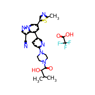 Cc1ncc(-c2cc(-c3ccc(N4CCN(C(=O)[C@H](O)C(C)C)CC4)nc3)c3c(C#N)cnn3c2)s1.O=C(O)C(F)(F)F